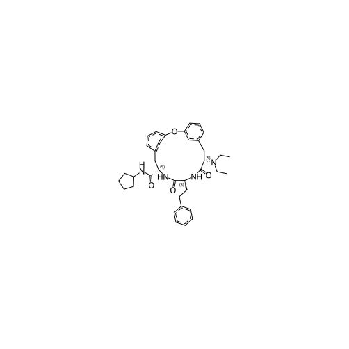 CCN(CC)[C@H]1Cc2cccc(c2)Oc2cccc(c2)C[C@@H](C(=O)NC2CCCC2)NC(=O)[C@H](CCc2ccccc2)NC1=O